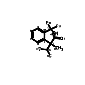 CC(C(=O)O)(c1ccccc1C(F)(F)F)C(F)F